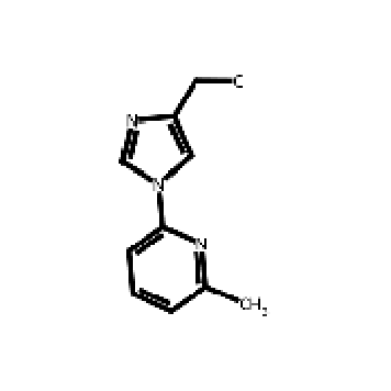 Cc1cccc(-n2cnc(CCl)c2)n1